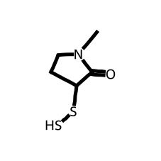 CN1CCC(SS)C1=O